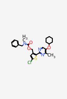 Cc1nc(-c2sc(Cl)cc2COC(=O)N(C)Cc2ccccc2)ncc1OC1CCCCC1